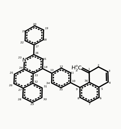 C=C1CC=Cc2cccc(-c3ccc(-c4cc(-c5ccccc5)nc5ccc6ccccc6c45)cc3)c21